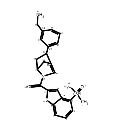 C[SH](C)(=O)c1cccc2sc(C(=O)N3C=C4CC3CC4c3cccc(CN)c3)cc12